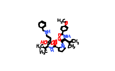 COc1ccc(C(=O)N[C@H](C(=O)N2CCC[C@H]2C(=O)N[C@@H](C(C)C)[Si](O)(O)CCNCc2ccccc2)C(C)C)cc1